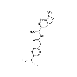 CC(C)c1ccc(CC(=O)NC(C)c2cc3cnn(C)c3nn2)cc1